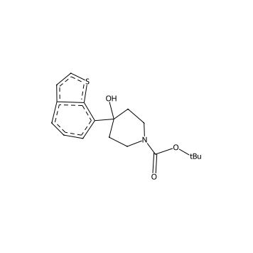 CC(C)(C)OC(=O)N1CCC(O)(c2cccc3ccsc23)CC1